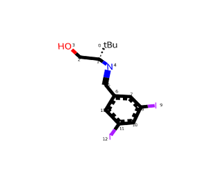 CC(C)(C)[C@@H](CO)/N=C/c1cc(I)cc(I)c1